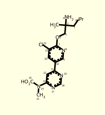 CC(C)CC(C)(N)COc1ncc(-c2cc(N(C)C(=O)O)ncn2)cc1Cl